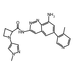 Cc1ccncc1-c1cc(N)c2nnc(NC(=O)C3CCN3c3cnn(C)c3)cc2c1